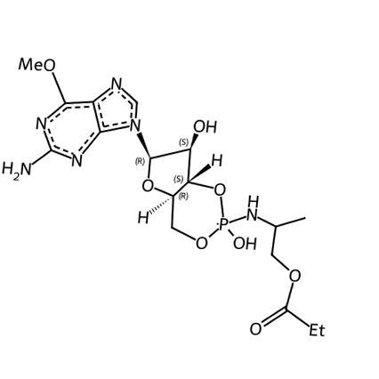 CCC(=O)OCC(C)N[P]1(O)OC[C@H]2O[C@@H](n3cnc4c(OC)nc(N)nc43)[C@@H](O)[C@@H]2O1